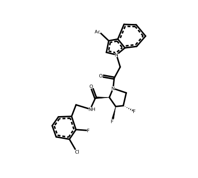 CC(=O)c1cn(CC(=O)N2C[C@H](F)[C@@H](F)[C@H]2C(=O)NCc2cccc(Cl)c2F)c2ccccc12